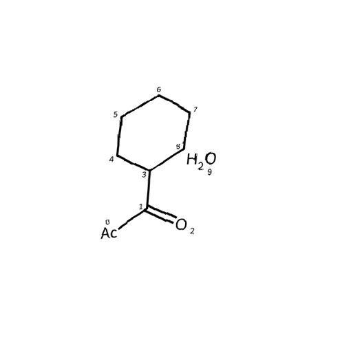 CC(=O)C(=O)C1CCCCC1.O